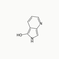 Oc1[nH]cc2ncccc12